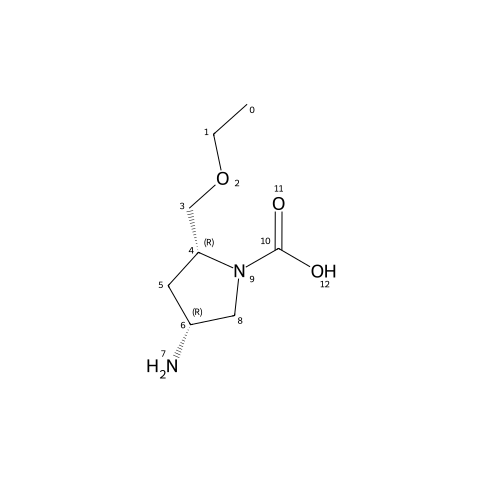 CCOC[C@H]1C[C@@H](N)CN1C(=O)O